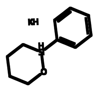 [KH].c1ccc([SiH]2CCCCO2)cc1